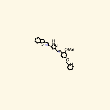 COc1cc(OCc2ccccn2)ccc1/C=C/c1cc(/C=C/c2cc3ccccc3s2)[nH]n1